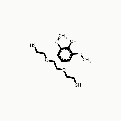 COc1cccc(OC)c1O.SCCOCCOCCS